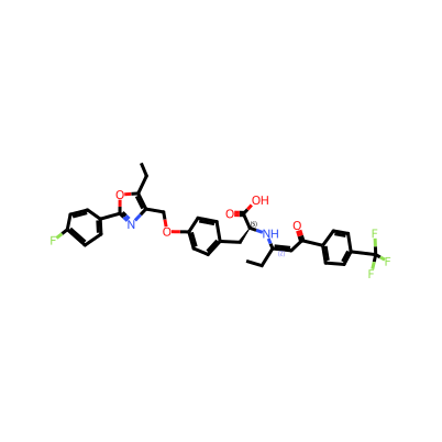 CC/C(=C/C(=O)c1ccc(C(F)(F)F)cc1)N[C@@H](Cc1ccc(OCc2nc(-c3ccc(F)cc3)oc2CC)cc1)C(=O)O